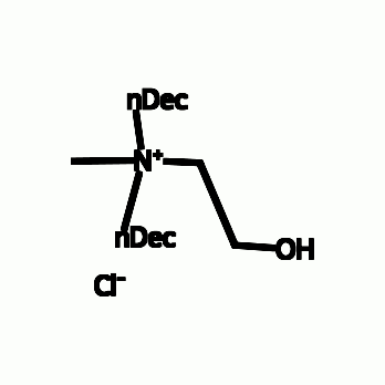 CCCCCCCCCC[N+](C)(CCO)CCCCCCCCCC.[Cl-]